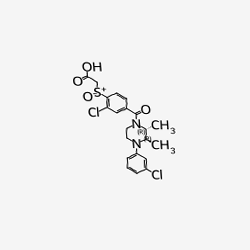 C[C@@H]1[C@@H](C)N(c2cccc(Cl)c2)CCN1C(=O)c1ccc([S+]([O-])CC(=O)O)c(Cl)c1